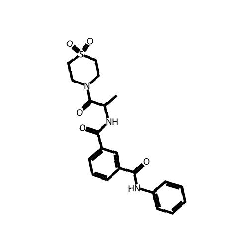 CC(NC(=O)c1cccc(C(=O)Nc2ccccc2)c1)C(=O)N1CCS(=O)(=O)CC1